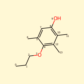 CCCOc1c(C)cc(O)c(C)c1C